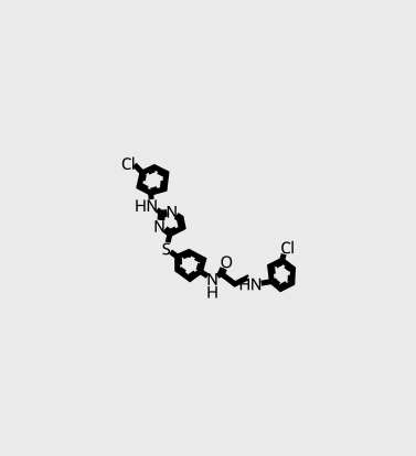 O=C(CCNc1cccc(Cl)c1)Nc1ccc(Sc2ccnc(Nc3cccc(Cl)c3)n2)cc1